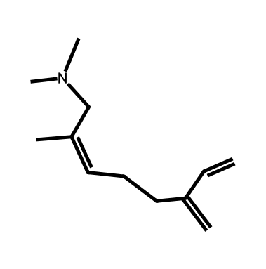 C=CC(=C)CC/C=C(/C)CN(C)C